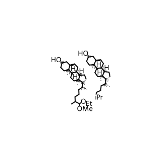 CC(C)CCC[C@@H](C)[C@H]1CC[C@H]2[C@@H]3CC=C4C[C@@H](O)CC[C@]4(C)[C@H]3CC[C@]12C.CCOC(OC)C(C)CCC[C@@H](C)[C@H]1CC[C@H]2[C@@H]3CC=C4C[C@@H](O)CC[C@]4(C)[C@H]3CC[C@]12C